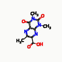 Cc1nc2c(=O)n(C)c(=O)n(C)c2nc1C(=O)O